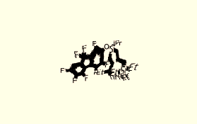 CCCCCCC(CC)CC[Si](CCC[Si](CC)(CC)CC)(Oc1c(F)c(F)c2c(c1F)C(F)(F)c1[c]c(F)c(F)c(F)c1-2)C(C)C